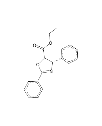 CCOC(=O)C1OC(c2ccccc2)=N[C@H]1c1ccccc1